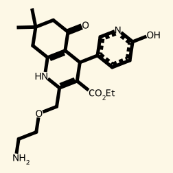 CCOC(=O)C1=C(COCCN)NC2=C(C(=O)CC(C)(C)C2)C1c1ccc(O)nc1